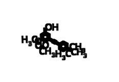 COc1cc(CO)cc(C#Cc2ccc(C(C)(C)C)cc2)c1OC(C)=O